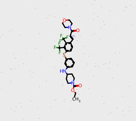 CCOC(=O)N1CCC(Nc2cccc(Sc3ccc(/C=C/C(=O)N4CCOCC4)c(C(F)(F)F)c3C(F)(F)F)c2)CC1